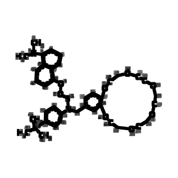 CN(C)c1cccc2c(OOSN(Cc3ccc4c(c3)OCCOCCOCCOCCOCCO4)c3ccc([N+](C)(C)C)cc3)cccc12